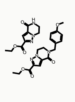 CCOC(=O)c1cc2n(n1)CCN(Cc1ccc(OC)cc1)C2=O.CCOC(=O)c1cc2n(n1)CCNC2=O